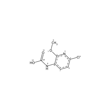 COc1nc(Cl)ccc1NC(=O)O